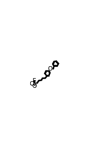 O=S(=O)(F)CCCCCc1ccc(OCc2ccccc2)cc1